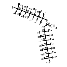 CN(CC(F)(F)C(F)(F)C(F)(F)C(F)(F)C(F)(F)C(F)(F)C(F)(F)F)CC(F)(F)C(F)(F)C(F)(F)C(F)(F)C(F)(F)C(F)(F)C(F)(F)F